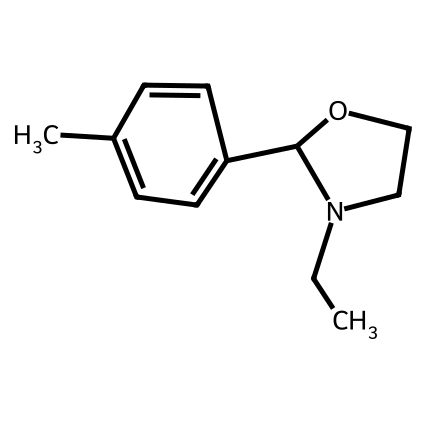 CCN1CCOC1c1ccc(C)cc1